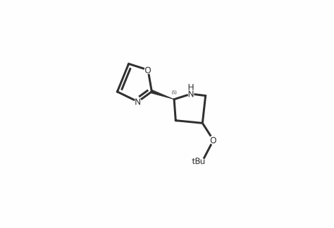 CC(C)(C)OC1CN[C@H](c2ncco2)C1